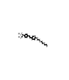 CN(C)c1ccc(C=Cc2ccc(OCCOCCOCCF)nc2)cc1